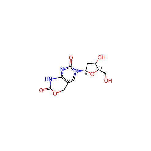 O=C1Nc2nc(=O)n([C@H]3CC(O)[C@@H](CO)O3)cc2CO1